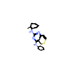 Cc1ccccc1Nc1nc2c(c(N(C)c3ccccc3)n1)CSC=C2